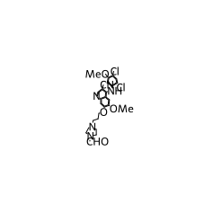 COc1cc(Nc2c(C#N)cnc3cc(OCCCN4CCN(C=O)CC4)c(OC)cc23)c(Cl)cc1Cl